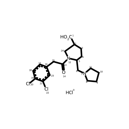 Cl.O=C(O)C1CCC(CN2CCCC2)N(C(=O)Cc2ccc(Cl)c(Cl)c2)C1